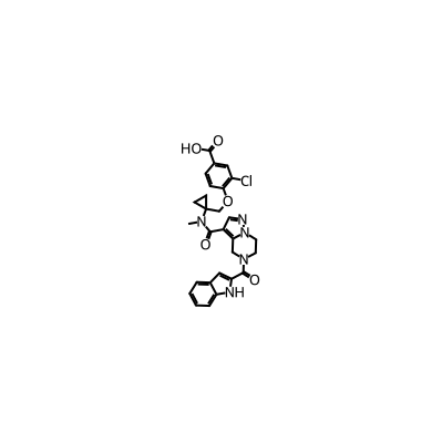 CN(C(=O)c1cnn2c1CN(C(=O)c1cc3ccccc3[nH]1)CC2)C1(COc2ccc(C(=O)O)cc2Cl)CC1